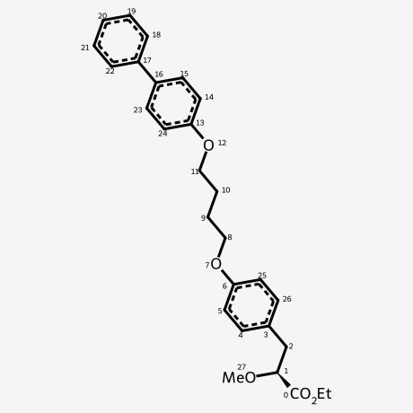 CCOC(=O)[C@H](Cc1ccc(OCCCCOc2ccc(-c3ccccc3)cc2)cc1)OC